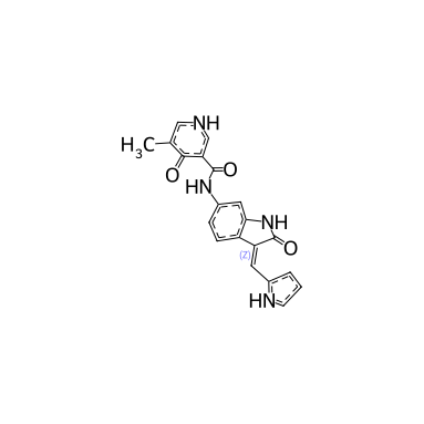 Cc1c[nH]cc(C(=O)Nc2ccc3c(c2)NC(=O)/C3=C\c2ccc[nH]2)c1=O